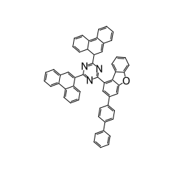 C1=CC2=c3ccccc3=CC(c3nc(-c4cc5ccccc5c5ccccc45)nc(-c4cc(-c5ccc(-c6ccccc6)cc5)cc5oc6ccccc6c45)n3)C2C=C1